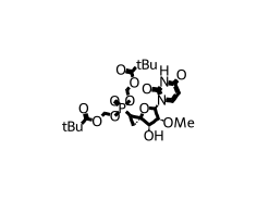 CO[C@H]1[C@H](n2ccc(=O)[nH]c2=O)O[C@@]2(CC2P(=O)(OCOC(=O)C(C)(C)C)OCOC(=O)C(C)(C)C)[C@H]1O